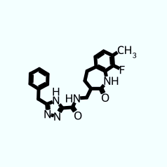 Cc1ccc2c(c1F)NC(=O)C(CNC(=O)c1nnc(Cc3ccccc3)[nH]1)CC2